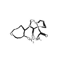 CC1COCCC1N(C)C(=O)[N+]1(C(N)=O)C=[C]C=N1